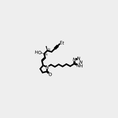 CCC#CC[C@H](C)[C@@H](O)C=CC1CCC(=O)N1CCCCCCc1nnn[nH]1